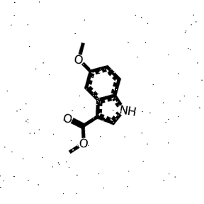 COC(=O)c1c[nH]c2ccc(OC)cc12